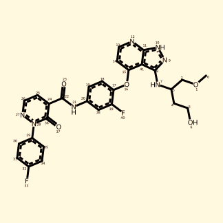 COCC(CCO)Nc1n[nH]c2nccc(Oc3ccc(NC(=O)c4ccnn(-c5ccc(F)cc5)c4=O)cc3F)c12